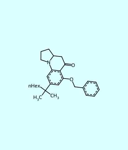 CCCCCCC(C)(C)c1cc(OCc2ccccc2)c2c(c1)N1CCCC1CC2=O